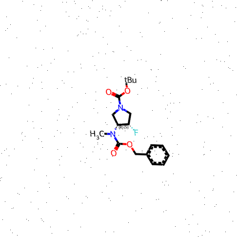 CN(C(=O)OCc1ccccc1)[C@@H]1CN(C(=O)OC(C)(C)C)C[C@@H]1F